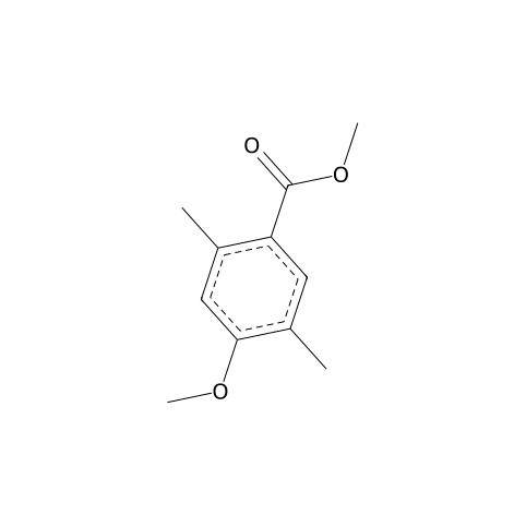 COC(=O)c1cc(C)c(OC)cc1C